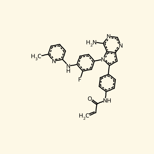 C=CC(=O)Nc1ccc(-c2cc3ncnc(N)c3n2-c2ccc(Nc3cccc(C)n3)c(F)c2)cc1